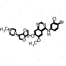 COc1cc2c(Nc3ccc(Br)c(Cl)c3)ncnc2cc1O[C@@H]1COC2C1OC[C@H]2N1CCN(C)CC1